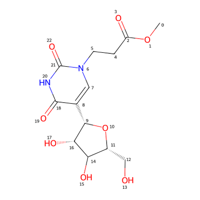 COC(=O)CCn1cc([C@@H]2O[C@H](CO)C(O)[C@@H]2O)c(=O)[nH]c1=O